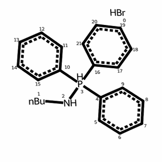 Br.CCCCN[PH](c1ccccc1)(c1ccccc1)c1ccccc1